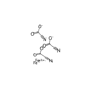 N#CC(=O)[O-].N#CC(=O)[O-].N#CC(=O)[O-].[Fe+3].[Fe]